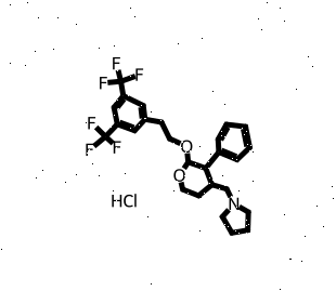 Cl.FC(F)(F)c1cc(CCOC2OCCC(CN3CCCC3)C2c2ccccc2)cc(C(F)(F)F)c1